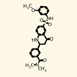 COc1cccc(NS(=O)(=O)c2ccc3c(c2)C(=O)CC(c2cccc(C(=O)N(C)C)c2)N3)c1